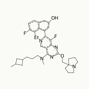 CCc1c(F)ccc2cc(O)cc(-c3ncc4c(N(C)CCCC5CC(C)C5)nc(OCC56CCCN5CCC6)nc4c3F)c12